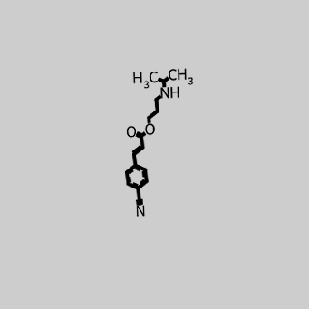 CC(C)NCCCOC(=O)/C=C/c1ccc(C#N)cc1